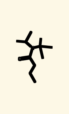 CCCC(=O)N(C(C)C)C(C)(C)C